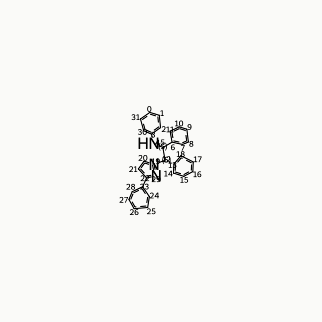 c1ccc(N[C@@H](c2ccccc2)[C@H](c2ccccc2)n2ccc(-c3ccccc3)n2)cc1